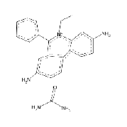 CC[n+]1c(-c2ccccc2)c2cc(N)ccc2c2ccc(N)cc21.NC(N)=O